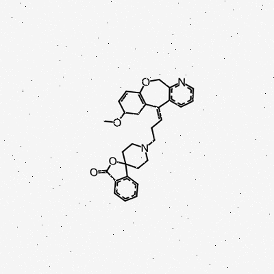 COC1C=CC2=C(C1)C(=CCCN1CCC3(CC1)OC(=O)c1ccccc13)c1cccnc1CO2